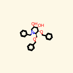 O[C@H]1[C@H](OCc2ccccc2)[C@@H](COCc2ccccc2)N(Cc2ccccc2)C[C@H]1O